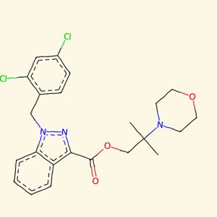 CC(C)(COC(=O)c1nn(Cc2ccc(Cl)cc2Cl)c2ccccc12)N1CCOCC1